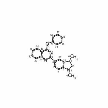 CC1CN(C)c2ccc(-c3nc(Oc4ccccc4)c4ccccc4n3)cc21